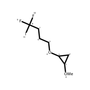 COC1CC1OCCCC(F)(F)I